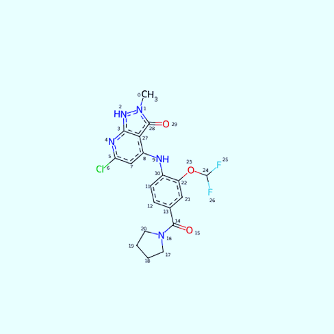 Cn1[nH]c2nc(Cl)cc(Nc3ccc(C(=O)N4CCCC4)cc3OC(F)F)c2c1=O